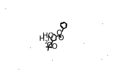 CC(C)(C)OC(=O)C(N)CC(CO)C(=O)OCc1ccccc1